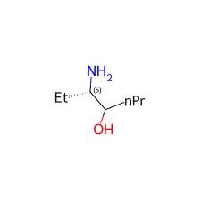 CCCC(O)[C@@H](N)CC